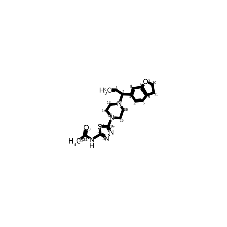 C=CC(c1ccc2c(c1)OCC2)N1CCN(c2nnc(NC(C)=O)s2)CC1